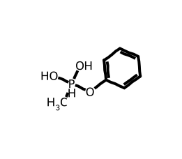 C[PH](O)(O)Oc1ccccc1